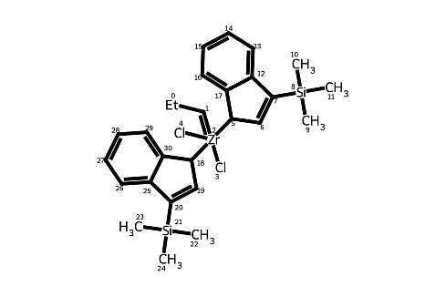 CC[CH]=[Zr]([Cl])([Cl])([CH]1C=C([Si](C)(C)C)c2ccccc21)[CH]1C=C([Si](C)(C)C)c2ccccc21